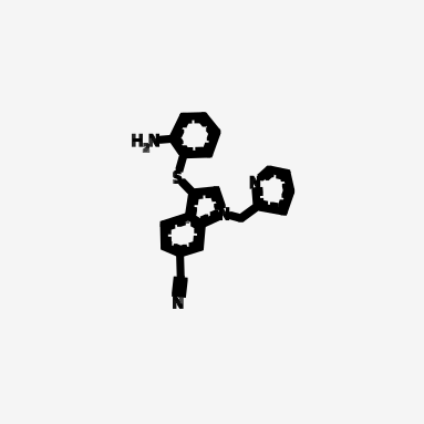 N#Cc1ccc2c(Sc3ccccc3N)cn(Cc3ccccn3)c2c1